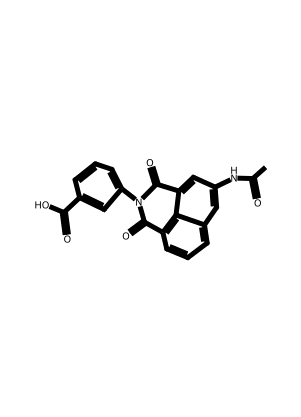 CC(=O)Nc1cc2c3c(cccc3c1)C(=O)N(c1cccc(C(=O)O)c1)C2=O